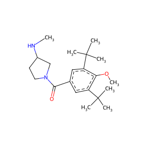 CNC1CCN(C(=O)c2cc(C(C)(C)C)c(OC)c(C(C)(C)C)c2)C1